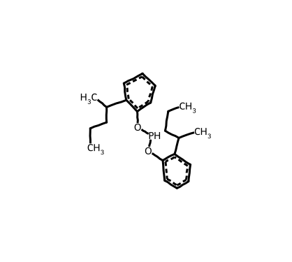 CCCC(C)c1ccccc1OPOc1ccccc1C(C)CCC